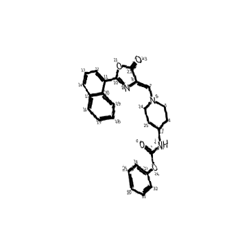 O=C(NC1CCN(C=C2N=C(c3cccc4ccccc34)OC2=O)CC1)Oc1ccccc1